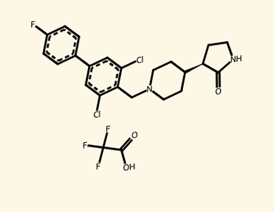 O=C(O)C(F)(F)F.O=C1NCC[C@@H]1C1CCN(Cc2c(Cl)cc(-c3ccc(F)cc3)cc2Cl)CC1